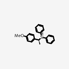 COc1ccc([C@H](C)[SiH](c2ccccc2)c2ccccc2)cc1